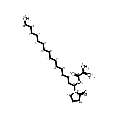 C=C(C)C(=O)OC(CCCCCCCCCCCCCCCC)N1CCCC1=O